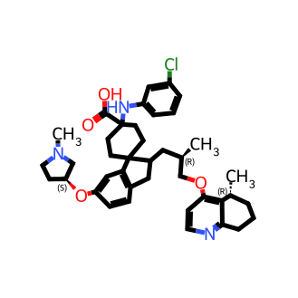 C[C@@H](COc1ccnc2c1[C@H](C)CCC2)CC1Cc2ccc(O[C@H]3CCN(C)C3)cc2C12CCC(Nc1cccc(Cl)c1)(C(=O)O)CC2